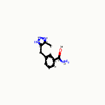 [CH2]c1nn[nH]c1Cc1cccc(C(N)=O)c1